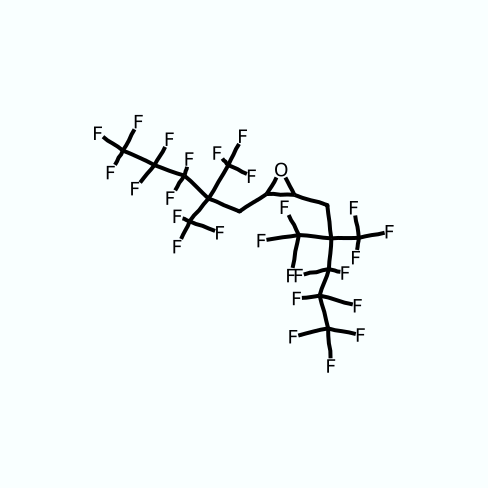 FC(F)(F)C(F)(F)C(F)(F)C(CC1OC1CC(C(F)(F)F)(C(F)(F)F)C(F)(F)C(F)(F)C(F)(F)F)(C(F)(F)F)C(F)(F)F